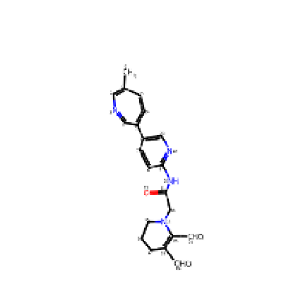 CC1=CN=CC(c2ccc(NC(=O)CN3CCCC(C=O)=C3C=O)nc2)=C=C1